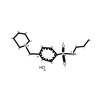 CCCNS(=O)(=O)c1ccc(CN2CCCCC2)cc1.Cl